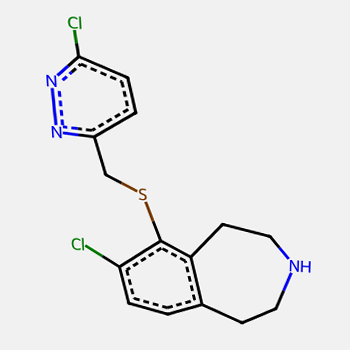 Clc1ccc(CSc2c(Cl)ccc3c2CCNCC3)nn1